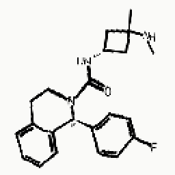 CN[C@]1(C)C[C@H](NC(=O)N2CCc3ccccc3[C@@H]2c2ccc(F)cc2)C1